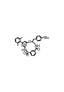 Cc1cccc(C)c1-c1cc2nc(n1)NS(=O)(=O)c1cccc(c1)C(=O)NCC(Cc1ccc(C(C)(C)C)cc1)O2